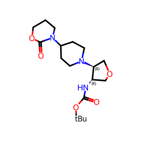 CC(C)(C)OC(=O)N[C@H]1COC[C@@H]1N1CCC(N2CCCOC2=O)CC1